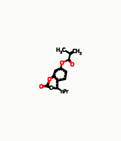 C=C(C)C(=O)Oc1ccc2c(CCC)cc(=O)oc2c1